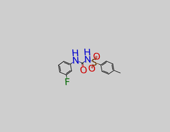 Cc1ccc(S(=O)(=O)NC(=O)Nc2cccc(F)c2)cc1